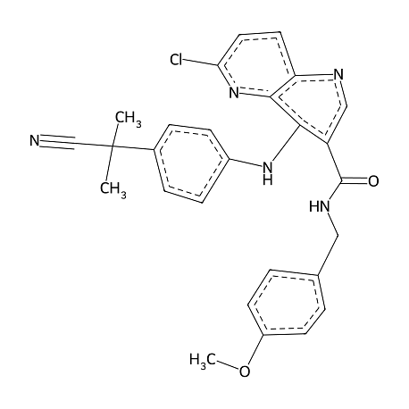 COc1ccc(CNC(=O)c2cnc3ccc(Cl)nc3c2Nc2ccc(C(C)(C)C#N)cc2)cc1